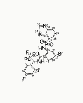 O=C(NC(c1ccc(F)cc1F)C(F)(F)F)c1ccc(Br)cc1NS(=O)(=O)c1cccc2nccnc12